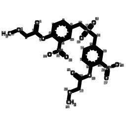 COCC(=O)Oc1ccc(CS(=O)(=O)Cc2ccc(OC(=O)COC)c([N+](=O)[O-])c2)cc1[N+](=O)[O-]